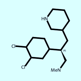 CNC[C@H](CC1CCCNC1)C1CCC(Cl)C(Cl)C1